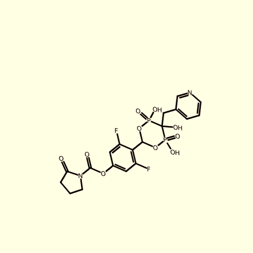 O=C1CCCN1C(=O)Oc1cc(F)c(C2OP(=O)(O)C(O)(Cc3cccnc3)P(=O)(O)O2)c(F)c1